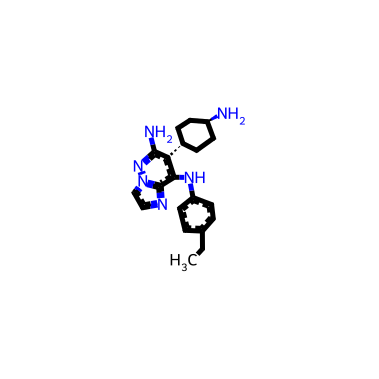 CCc1ccc(Nc2c3nccn3nc(N)c2[C@H]2CC[C@H](N)CC2)cc1